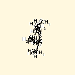 CC(C)CCCC(C)[C@H]1CC[C@H]2[C@@H]3CC=C4C[C@@H](SSCCC(=O)N(CCCCCCCC(C)(C)NC(=O)O)CCC(C)(C)NC(=O)OC(C)(C)C)CC[C@]4(C)[C@H]3CC[C@]12C